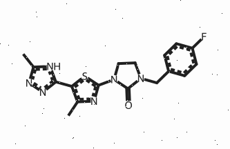 Cc1nnc(-c2sc(N3CCN(Cc4ccc(F)cc4)C3=O)nc2C)[nH]1